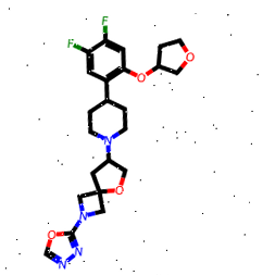 Fc1cc(OC2CCOC2)c(C2CCN(C3COC4(C3)CN(c3nnco3)C4)CC2)cc1F